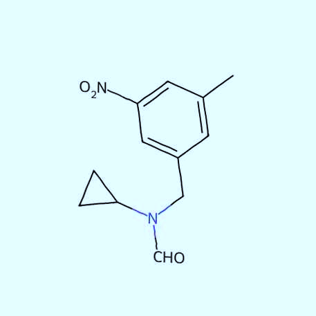 Cc1cc(CN(C=O)C2CC2)cc([N+](=O)[O-])c1